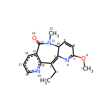 CCC1=C2N=C(OC)C=CC2N(C)C(=O)c2cccnc21